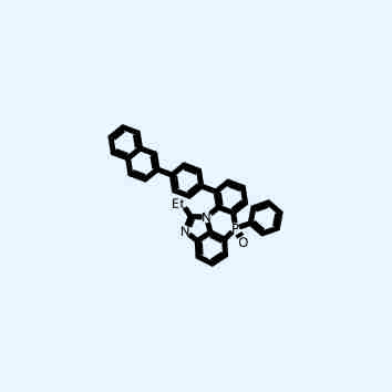 CCc1nc2cccc3c2n1-c1c(-c2ccc(-c4ccc5ccccc5c4)cc2)cccc1P3(=O)c1ccccc1